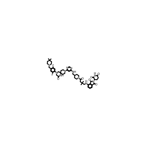 CC1(C)CCN(Cc2cc(F)c(N3CC(=O)NC4(CCN(c5cc(NCC6CCN(C(=O)CC(C)(C)CNc7cccc8c7C(=O)N(C7CCC(=O)NC7=O)C8=O)CC6)ncn5)CC4)C3)cc2F)CC1